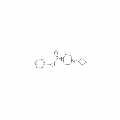 O=C(C1CC1c1ccccc1)N1CCN(C2CCC2)CC1